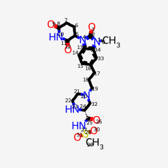 Cn1c(=O)n(C2CCC(=O)NC2=O)c2ccc(CCCN3CCN[C@@H](C(=O)NS(C)(=O)=O)C3)cc21